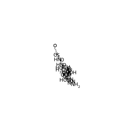 CC(C)(COP(=O)(O)OP(=O)(O)OC[C@H]1O[C@@H](n2cnc3c(N)ncnc32)[C@H](O)[C@@H]1OP(=O)(O)O)[C@@H](O)C(=O)NCCC(=O)NCCSC(=O)CCCCc1ccccc1